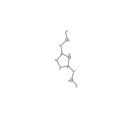 COCC1CCC(COC)O1